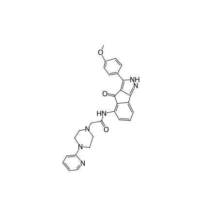 COc1ccc(-c2[nH]nc3c2C(=O)c2c(NC(=O)CN4CCN(c5ccccn5)CC4)cccc2-3)cc1